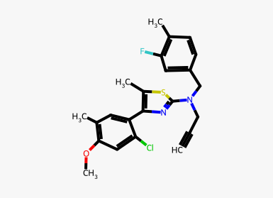 C#CCN(Cc1ccc(C)c(F)c1)c1nc(-c2cc(C)c(OC)cc2Cl)c(C)s1